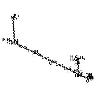 CC(C)(C)OC(=O)CCCCCCCCCCCCNC(=O)[C@H](CCC(=O)OC(C)(C)C)NC(=O)CCOCCOCCOCCNC(=O)CCOCCOCCOCCC(=O)NCCOCCOCCOCCC(=O)NCCCC[C@H](NC(=O)CCCN1C(=O)C2[C@@H](C1=O)[C@@H]1C=C[C@H]2O1)C(=O)NCCCC(=O)OCC[Si](C)(C)C